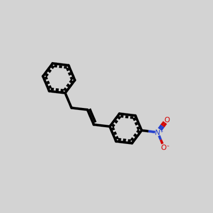 O=[N+]([O-])c1ccc(C=CCc2ccccc2)cc1